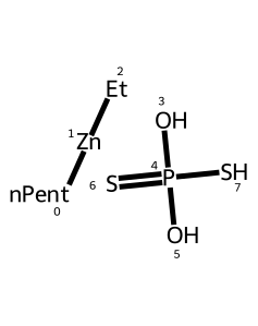 CCCC[CH2][Zn][CH2]C.OP(O)(=S)S